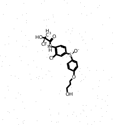 C[C@@](O)(C(=O)Nc1ccc([S+]([O-])c2ccc(OCCCO)cc2)cc1Cl)C(F)(F)F